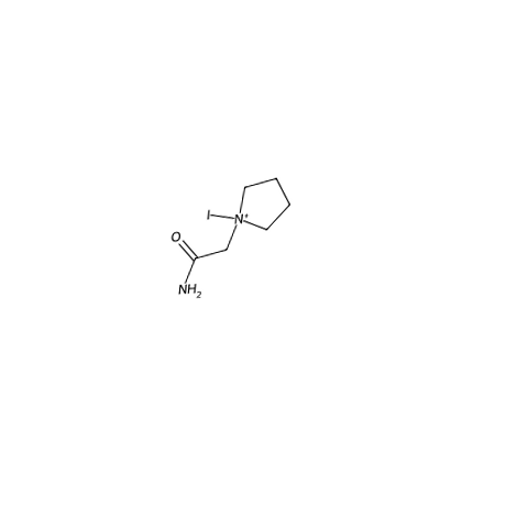 NC(=O)C[N+]1(I)CCCC1